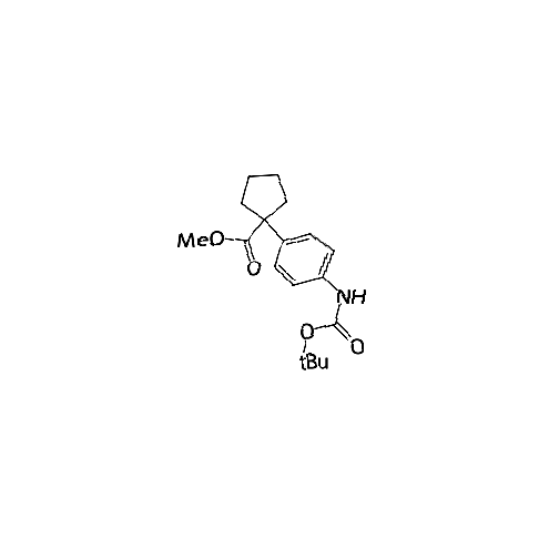 COC(=O)C1(c2ccc(NC(=O)OC(C)(C)C)cc2)CCCC1